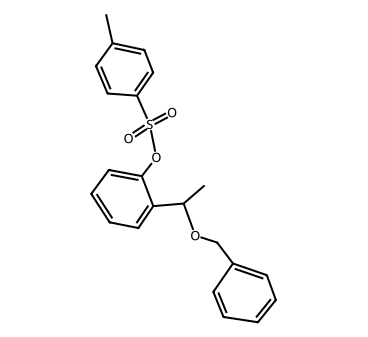 Cc1ccc(S(=O)(=O)Oc2ccccc2C(C)OCc2ccccc2)cc1